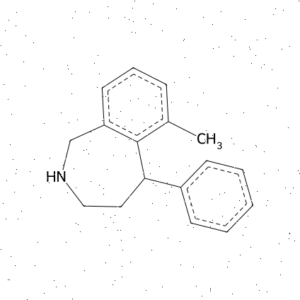 Cc1cccc2c1C(c1ccccc1)CCNC2